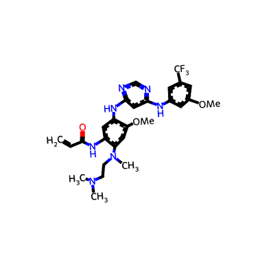 C=CC(=O)Nc1cc(Nc2cc(Nc3cc(OC)cc(C(F)(F)F)c3)ncn2)c(OC)cc1N(C)CCN(C)C